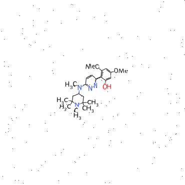 COc1cc(O)c(-c2ccc(N(C)C3CC(C)(C)N(C)C(C)(C)C3)nn2)c(OC)c1